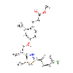 COC(=O)CCc1ccc(OCC(C)c2nc(-c3ccc(Br)cc3)sc2C)cc1C